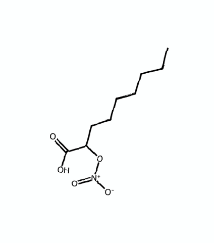 CCCCCCCC(O[N+](=O)[O-])C(=O)O